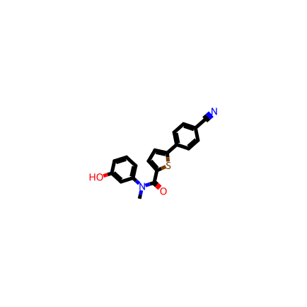 CN(C(=O)c1ccc(-c2ccc(C#N)cc2)s1)c1cccc(O)c1